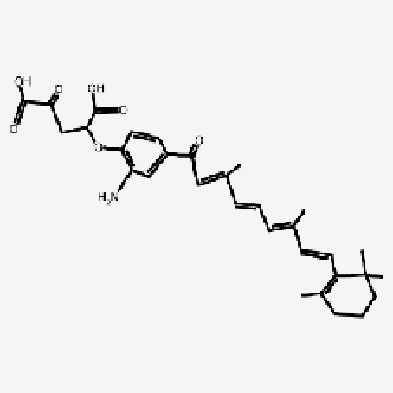 CC1=C(/C=C/C(C)=C/C=C/C(C)=C/C(=O)c2ccc(OC(CC(=O)C(=O)O)C(=O)O)c(N)c2)C(C)(C)CCC1